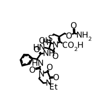 CCN1CCN(C(=O)NC(C(=O)N[C@]2(NO)C(=O)N3C(C(=O)O)=C(COC(N)=O)CS[C@H]32)c2ccccc2)C(=O)C1=O